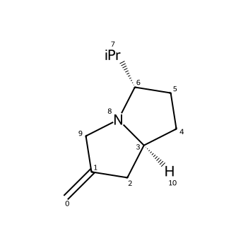 C=C1C[C@@H]2CC[C@@H](C(C)C)N2C1